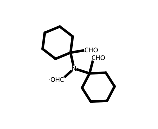 O=[C]N(C1(C=O)CCCCC1)C1(C=O)CCCCC1